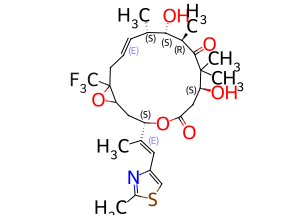 C/C(=C\c1csc(C)n1)[C@@H]1CC2OC2(C(F)(F)F)C/C=C/[C@H](C)[C@H](O)[C@@H](C)C(=O)C(C)(C)[C@@H](O)CC(=O)O1